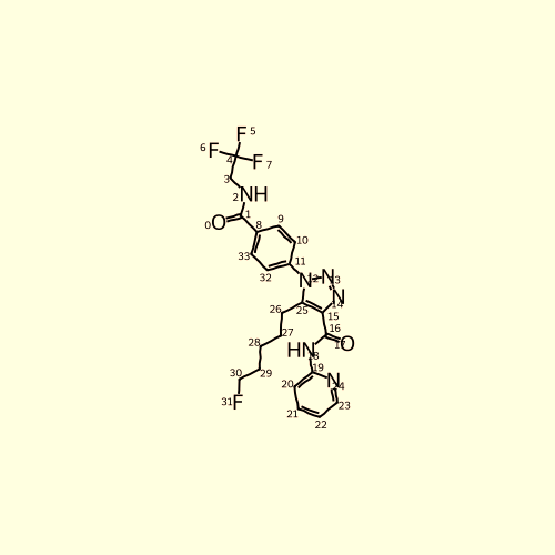 O=C(NCC(F)(F)F)c1ccc(-n2nnc(C(=O)Nc3ccccn3)c2CCCCCF)cc1